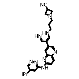 CC(C)c1cnnc(Nc2ccc3ncc(/C(C=N)=C/NCCCN4CC(C#N)C4)cc3n2)c1